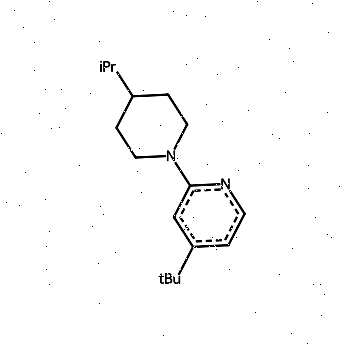 CC(C)C1CCN(c2cc(C(C)(C)C)ccn2)CC1